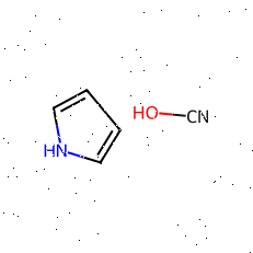 N#CO.c1cc[nH]c1